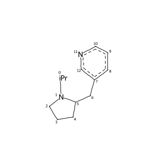 CC(C)N1CCCC1Cc1cccnc1